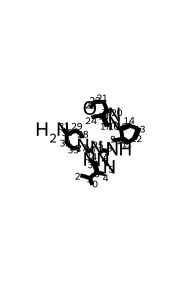 CC(C)c1cnn2c(NCc3ccccc3-n3cc4c(n3)CCOC4)nc(N3CCC(N)CC3)nc12